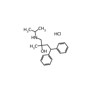 CC(C)NCC(C)(O)CC(c1ccccc1)c1ccccc1.Cl